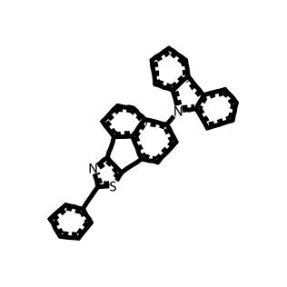 c1ccc(-c2nc3c(s2)-c2ccc(-n4c5ccccc5c5ccccc54)c4cccc-3c24)cc1